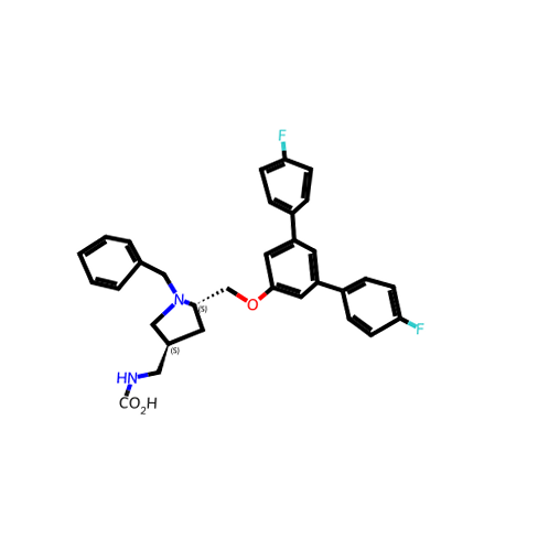 O=C(O)NC[C@@H]1C[C@@H](COc2cc(-c3ccc(F)cc3)cc(-c3ccc(F)cc3)c2)N(Cc2ccccc2)C1